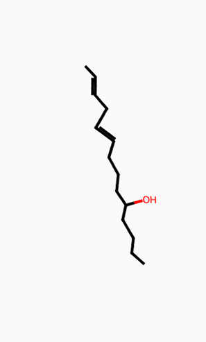 CC=CCC=CCCCC(O)CCCC